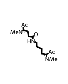 CN[C@@H](CCCCNC(=O)CC[C@H](NC)C(C)=O)C(C)=O